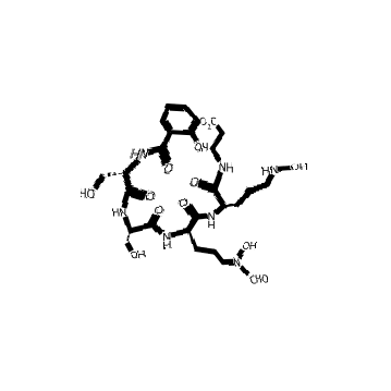 O=CN(O)CCC[C@@H](NC(=O)[C@H](CO)NC(=O)[C@H](CO)NC(=O)c1ccccc1O)C(=O)N[C@H](CCCNO)C(=O)NCCC(=O)O